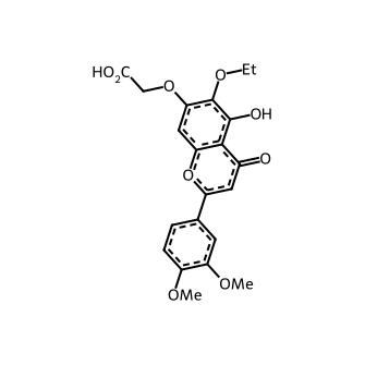 CCOc1c(OCC(=O)O)cc2oc(-c3ccc(OC)c(OC)c3)cc(=O)c2c1O